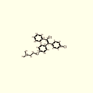 CC/C(=C(\c1ccc(Cl)cc1)c1ccc(OCCN(C)C)cc1)c1ccccc1